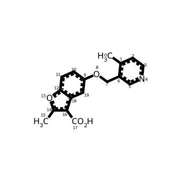 Cc1ccncc1COc1ccc2oc(C)c(C(=O)O)c2c1